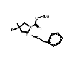 CC(C)(C)OC(=O)N1CC(F)(F)C[C@H]1COCc1ccccc1